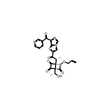 C=CCON1C(=O)[C@@]2([C@@H](C)O)C(=O)C(=O)[C@]12[C@@H](C)C(=O)c1cn2cnc(C(=O)c3cccnc3)c2s1